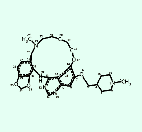 CN1CCC(COc2cc3ncnc4c3cc2OCCCCCN(C)Cc2ccc3c(c2N4)OCO3)CC1